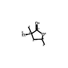 CC[C@]1(C)CC(C)OC1=O